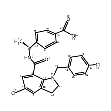 C[C@H](NC(=O)c1cc(Cl)cc2c1N(Cc1ccc(Cl)cc1)CC2)c1ccc(C(=O)O)cc1